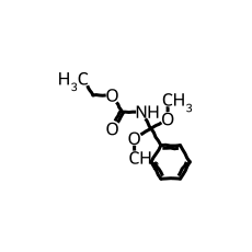 CCOC(=O)NC(OC)(OC)c1ccccc1